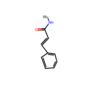 CC(C)(C)NC(=O)C=Cc1ccccc1